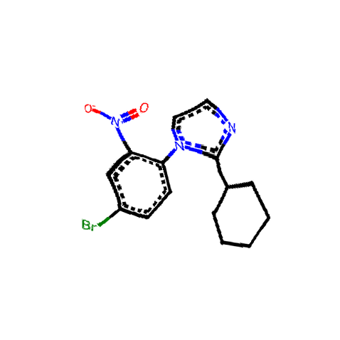 O=[N+]([O-])c1cc(Br)ccc1-n1ccnc1C1CCCCC1